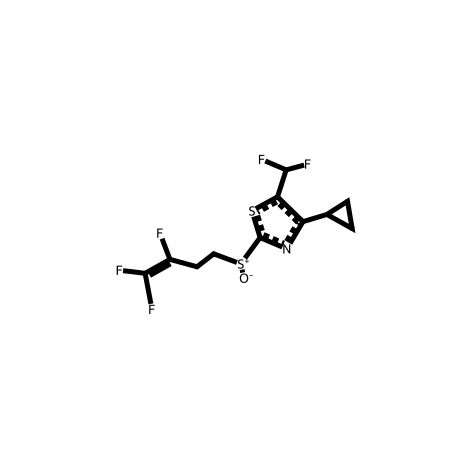 [O-][S+](CCC(F)=C(F)F)c1nc(C2CC2)c(C(F)F)s1